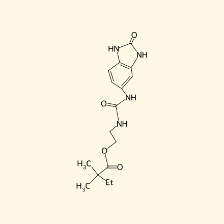 CCC(C)(C)C(=O)OCCNC(=O)Nc1ccc2[nH]c(=O)[nH]c2c1